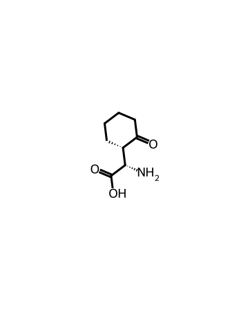 N[C@H](C(=O)O)[C@@H]1CCCCC1=O